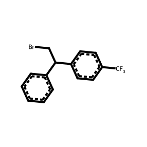 FC(F)(F)c1ccc(C(CBr)c2ccccc2)cc1